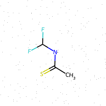 CC(=S)[N]C(F)F